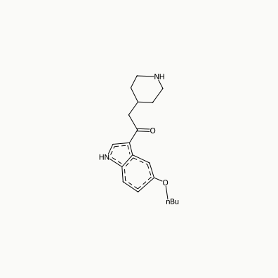 CCCCOc1ccc2[nH]cc(C(=O)CC3CCNCC3)c2c1